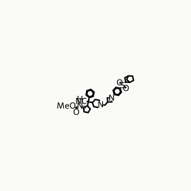 COC(=O)N[C@H]1CCCC1C(C#N)(c1ccccc1)C1CCN(CC2CN(c3ccc(S(=O)(=O)C4CC5CCC4C5)cc3)C2)CC1